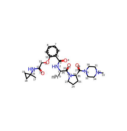 CCC[C@@H](NC(=O)c1ccccc1OCC(=O)NC1(C)CC1)C(=O)N1CCC[C@@H]1C(=O)N1CCN(C)CC1